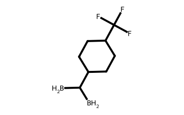 BC(B)C1CCC(C(F)(F)F)CC1